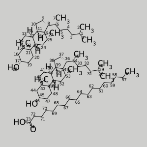 CC(C)CCC[C@@H](C)[C@H]1CC[C@H]2[C@@H]3CC=C4C[C@@H](O)CC[C@]4(C)[C@H]3CC[C@]12C.CC(C)CCC[C@@H](C)[C@H]1CC[C@H]2[C@@H]3CC=C4C[C@@H](O)CC[C@]4(C)[C@H]3CC[C@]12C.CCCCCCCCCCCCCCCCCC(=O)O